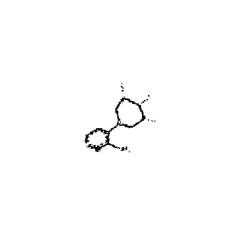 C[C@@H]1CN(c2ccncc2N)C[C@H](C)[C@@H]1[Y]